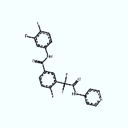 O=C(Nc1ccc(F)c(F)c1)c1ccc(F)c(C(F)(F)C(=O)Nc2ccncc2)c1